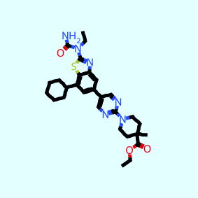 CCOC(=O)C1(C)CCN(c2ncc(-c3cc(C4CCCCC4)c4sc(N(CC)C(N)=O)nc4c3)cn2)CC1